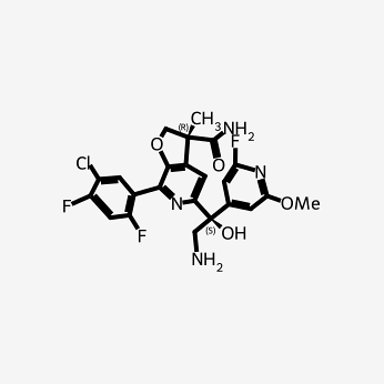 COc1cc([C@](O)(CN)c2cc3c(c(-c4cc(Cl)c(F)cc4F)n2)OC[C@]3(C)C(N)=O)cc(F)n1